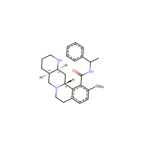 COc1ccc2c(c1C(=O)NC(C)c1ccccc1)[C@H]1C[C@@H]3NCCC[C@@H]3CN1CC2